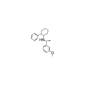 COc1cccc([C@H](C)NC2CCCCC2c2ccccc2)c1